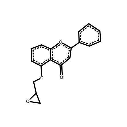 O=c1cc(-c2ccccc2)oc2cccc(OCC3CO3)c12